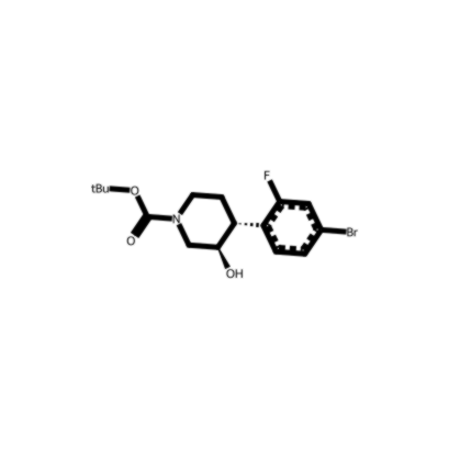 CC(C)(C)OC(=O)N1CC[C@H](c2ccc(Br)cc2F)[C@@H](O)C1